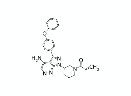 C=CC(=O)N1CCCC(n2nc(-c3ccc(Oc4ccccc4)cc3)c3c(N)cnnc32)C1